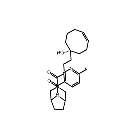 O=C(OCC[C@]1(O)CC/C=C\CCC1)N1CC2CCC(C1)N2C(=O)c1ccc(F)nc1